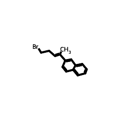 CC(=CCCBr)c1ccc2ccccc2c1